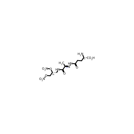 C/C(=N\NC(=O)CC[C@H](N)C(=O)O)C(=O)NC[C@H](CO[N+](=O)[O-])O[N+](=O)[O-]